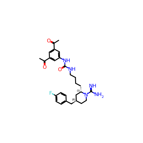 CC(=O)c1cc(NC(=O)NCCCC[C@H]2C[C@H](Cc3ccc(F)cc3)CCN2C(=N)N)cc(C(C)=O)c1